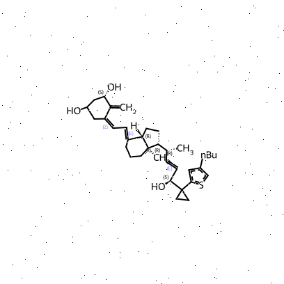 C=C1/C(=C\C=C2/CCC[C@]3(C)[C@@H]([C@H](C)/C=C/[C@H](O)C4(c5cc(CCCC)cs5)CC4)CC[C@@H]23)CC(O)C[C@@H]1O